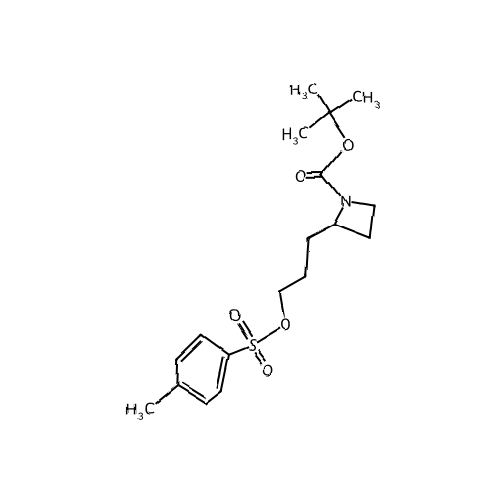 Cc1ccc(S(=O)(=O)OCCCC2CCN2C(=O)OC(C)(C)C)cc1